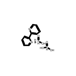 O=[PH](O)O.O=[PH](O)O.c1ccc(-c2ccccn2)nc1